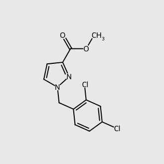 COC(=O)c1ccn(Cc2ccc(Cl)cc2Cl)n1